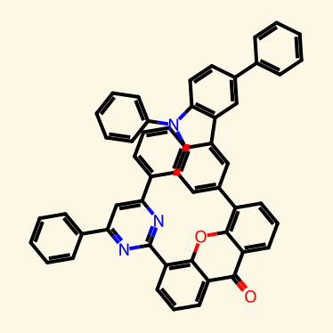 O=c1c2cccc(-c3ccc4c(c3)c3cc(-c5ccccc5)ccc3n4-c3ccccc3)c2oc2c(-c3nc(-c4ccccc4)cc(-c4ccccc4)n3)cccc12